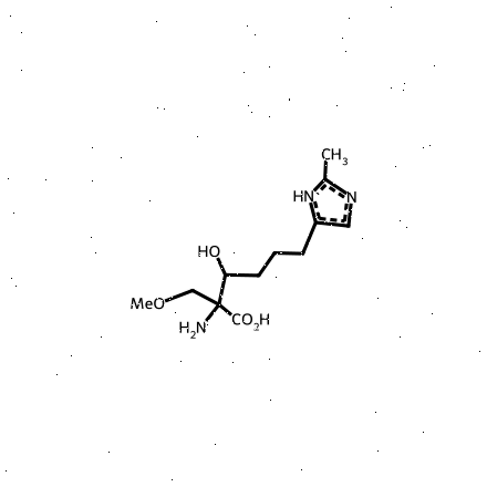 COCC(N)(C(=O)O)C(O)CCCc1cnc(C)[nH]1